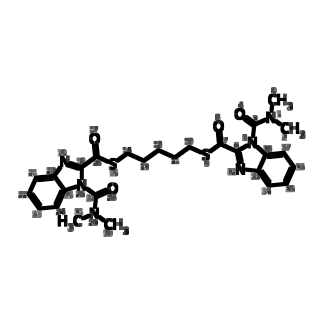 CN(C)C(=O)n1c(C(=O)SCCCCCSC(=O)c2nc3ccccc3n2C(=O)N(C)C)nc2ccccc21